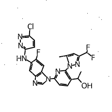 Cc1cc(C(F)F)nn1-c1nc(-n2cnc3cc(Nc4ccc(Cl)nn4)c(F)cc32)ccc1C(C)O